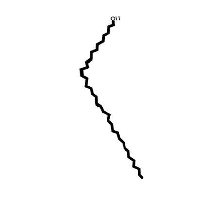 CCCCCCCCCCCCCCCCC=CCCCCC/C=C\C/C=C/CCCCCCCCO